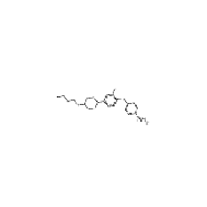 CCCCCC1CCC(c2ccc(Cc3ccc(N)cc3)c(C)c2)CC1